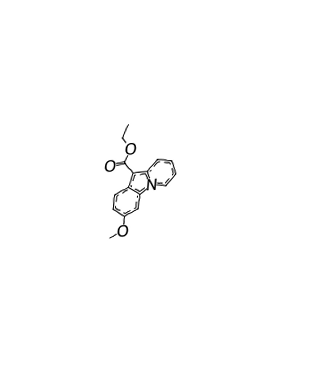 CCOC(=O)c1c2ccc(OC)cc2n2ccccc12